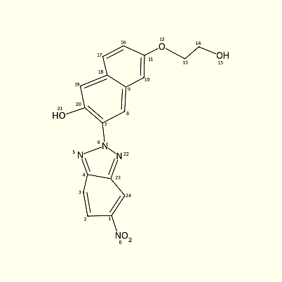 O=[N+]([O-])c1ccc2nn(-c3cc4cc(OCCO)ccc4cc3O)nc2c1